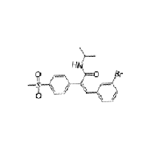 CC(C)NC(=O)C(=Cc1cccc(Br)c1)c1ccc(S(C)(=O)=O)cc1